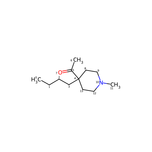 CCCCC1(C(C)=O)CCN(C)CC1